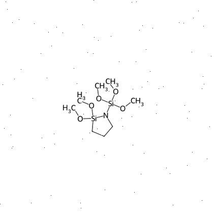 CO[Si]1(OC)CCCN1[Si](OC)(OC)OC